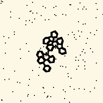 c1ccc(-c2ccccc2-c2ccccc2N(c2ccccc2)c2ccc3c(c2)-n2c4ccccc4c4cccc(c42)C32c3ccccc3-c3ccccc32)cc1